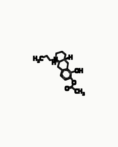 CCCN1CCC[C@@H]2Cc3c(ccc(OC(C)=O)c3O)C[C@H]21